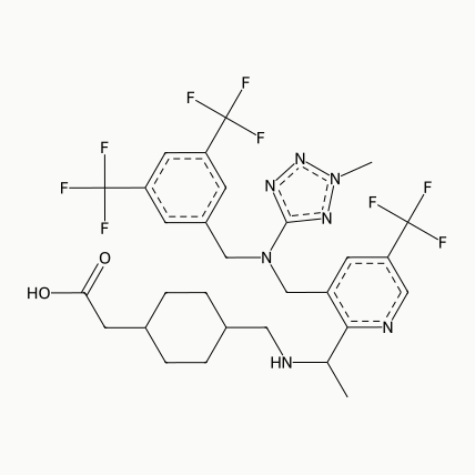 CC(NCC1CCC(CC(=O)O)CC1)c1ncc(C(F)(F)F)cc1CN(Cc1cc(C(F)(F)F)cc(C(F)(F)F)c1)c1nnn(C)n1